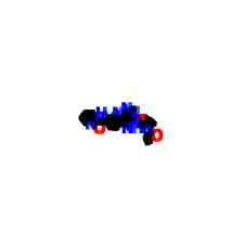 C=CC(=O)N1CC2CC(Nc3ncnc(N)c3C(=N)c3ccc(C(=O)Nc4ccccn4)cc3)C1C2